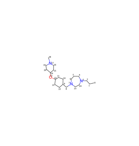 CCCN1CCCN(CC2CCC(OC3CCN(C)CC3)CC2)CC1